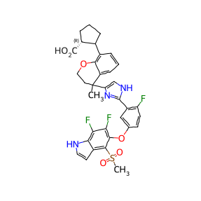 CC1(c2c[nH]c(-c3cc(Oc4c(F)c(F)c5[nH]ccc5c4S(C)(=O)=O)ccc3F)n2)CCOc2c(C3CCC[C@H]3C(=O)O)cccc21